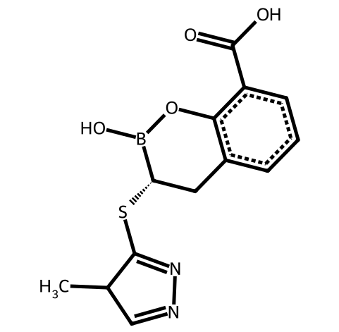 CC1C=NN=C1S[C@H]1Cc2cccc(C(=O)O)c2OB1O